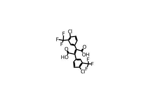 O=C(O)C(=C(C(=O)O)c1ccc(Cl)c(C(F)(F)F)c1)c1ccc(Cl)c(C(F)(F)F)c1